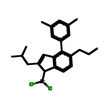 CCCc1ccc2c(c1-c1cc(C)cc(C)c1)C=C(CC(C)C)[CH]2[Zr]([Cl])[Cl]